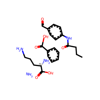 CCCC(=O)Nc1ccc(C=O)cc1.N.NCCC[C@H](N)C(=O)O.O=C(O)c1ccccc1